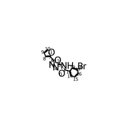 O=C(Nc1nnc(-c2ccco2)o1)c1cccc(Br)c1